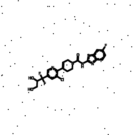 O=C(Nc1nc2ccc(F)cc2s1)N1CC=C(c2ncc(C(F)(F)C(O)CO)cc2Cl)CC1